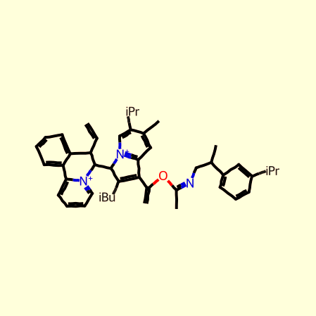 C=CC1c2ccccc2-c2cccc[n+]2C1C1C(C(C)CC)=C(C(=C)O/C(C)=N\CC(C)c2cccc(C(C)C)c2)c2cc(C)c(C(C)C)c[n+]21